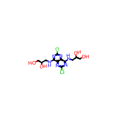 OCC(O)CNc1nc(Cl)nc2c(NCC(O)CO)nc(Cl)nc12